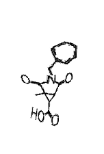 CC12C(=O)N(Cc3ccccc3)C(=O)C1C2C(=O)O